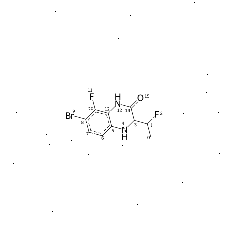 CC(F)C1Nc2ccc(Br)c(F)c2NC1=O